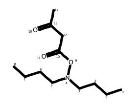 CCCCN(CCCC)OC(=O)CC(C)=O